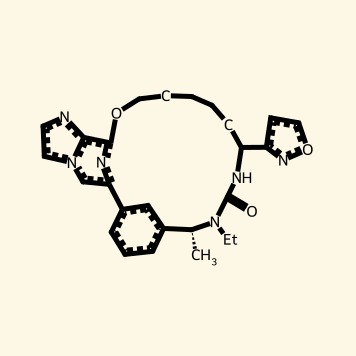 CCN1C(=O)NC(c2ccon2)CCCCCOc2nc(cn3ccnc23)-c2cccc(c2)[C@H]1C